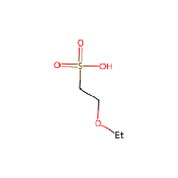 CCOCCS(=O)(=O)O